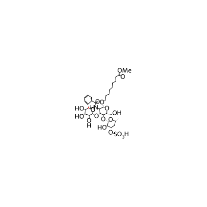 COC(=O)CCCCCCCCO[C@@H]1O[C@H](CO)[C@@H](O[C@@H]2O[C@H](C)C[C@H](OS(=O)(=O)O)[C@H]2O)[C@H](O[C@@H]2O[C@@H](C)[C@@H](O)[C@@H](O)[C@@H]2O)[C@H]1NC(=O)c1ccccc1